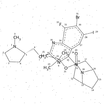 CN1CCC[C@H]1COc1nc(N2CC3CCC(C2)N3C(=O)OC(C)(C)C)c2cc(I)c(Br)c(F)c2n1